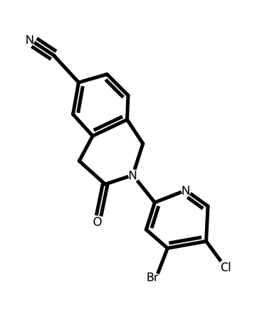 N#Cc1ccc2c(c1)CC(=O)N(c1cc(Br)c(Cl)cn1)C2